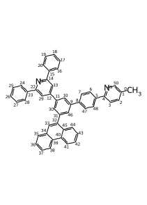 Cc1ccc(-c2ccc(-c3cc(-c4cc(-c5ccccc5)nc(-c5ccccc5)c4)cc(-c4cc5ccccc5c5ccccc45)c3)cc2)nc1